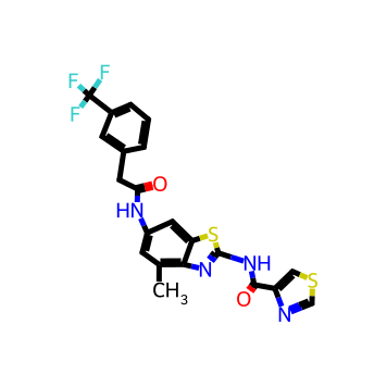 Cc1cc(NC(=O)Cc2cccc(C(F)(F)F)c2)cc2sc(NC(=O)c3cscn3)nc12